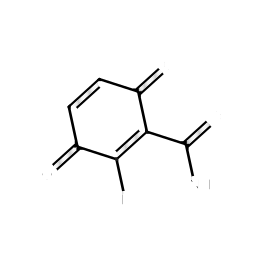 NC(=O)C1=C(F)C(=O)C=CC1=O